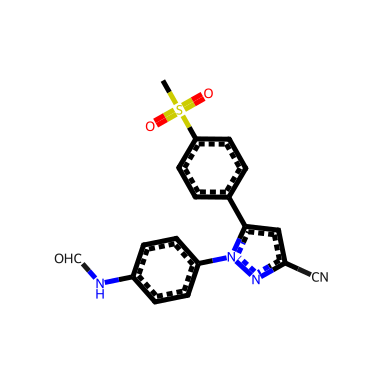 CS(=O)(=O)c1ccc(-c2cc(C#N)nn2-c2ccc(NC=O)cc2)cc1